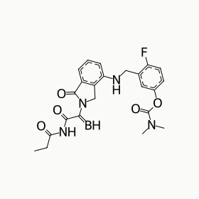 B=C(C(=O)NC(=O)CC)N1Cc2c(NCc3cc(OC(=O)N(C)C)ccc3F)cccc2C1=O